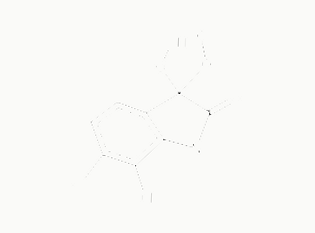 COC1(OC)C(=O)Nc2c1ccc(Cl)c2Cl